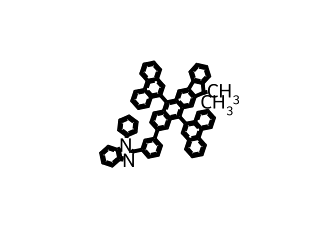 CC1(C)c2ccccc2-c2cc3c(-c4cc5ccccc5c5ccccc45)c4ccc(-c5cccc(-c6nc7ccccc7n6-c6ccccc6)c5)cc4c(-c4cc5ccccc5c5ccccc45)c3cc21